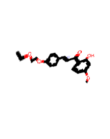 CCOCCOc1ccc(/C=C/C(=O)c2ccc(OC)cc2O)cc1